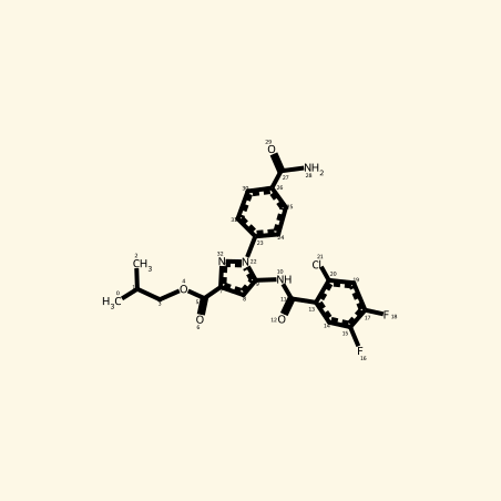 CC(C)COC(=O)c1cc(NC(=O)c2cc(F)c(F)cc2Cl)n(-c2ccc(C(N)=O)cc2)n1